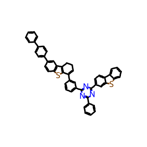 C1=C(c2cccc(-c3nc(-c4ccccc4)nc(-c4ccc5c(c4)sc4ccccc45)n3)c2)c2sc3ccc(-c4ccc(-c5ccccc5)cc4)cc3c2CC1